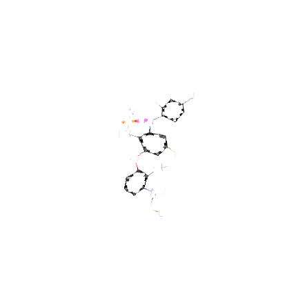 CCSNc1cccc(Oc2cc(F)cc(Nc3ccc(I)cc3F)c2NS(N)(=O)=O)c1C